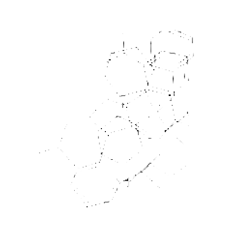 CC(C)c1cccc(C(C)C)c1N1CCN(c2c(C(C)C)cccc2C(C)C)C1=C1C(Cl)CCCC1(Cl)P(=Cc1ccccc1)(C1CCCCC1)C1CCCCC1